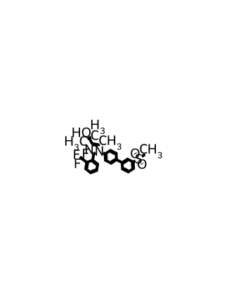 CCS(=O)(=O)c1cccc(-c2ccc(-n3c(-c4ccccc4C(F)(F)F)nc(C(C)(C)O)c3C)cc2)c1